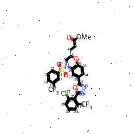 COC(=O)CC[C@H]1CN(S(=O)(=O)c2cccc(C(F)(F)F)c2)c2cc(-c3nnc(-c4c(Cl)cccc4C(F)(F)F)o3)ccc2O1